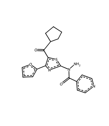 NN(C(=O)c1ccncc1)c1nc(-c2ccco2)c(C(=O)C2CCCC2)s1